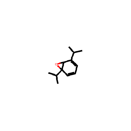 CC(C)C1=CC=CC2(C(C)C)OC12